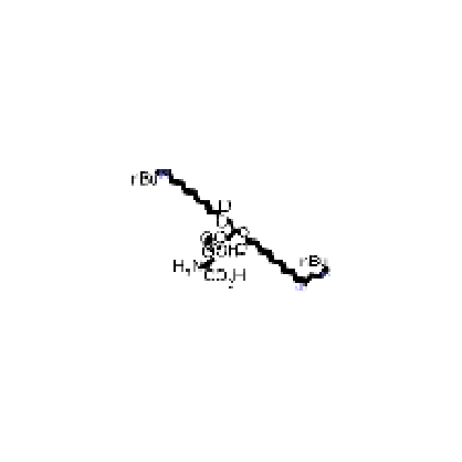 CCCC/C=C\C/C=C\CCCCCCCC(=O)O[C@H](COC(=O)CCCCCCC/C=C\CCCC)COP(=O)(O)OC[C@H](N)C(=O)O